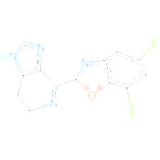 Fc1cc(F)c2oc(C3=NCCc4[nH]cnc43)nc2c1